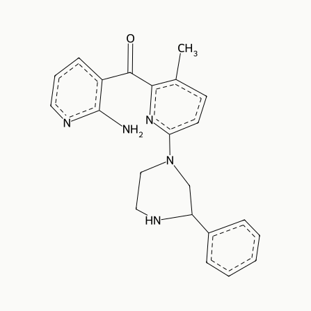 Cc1ccc(N2CCNC(c3ccccc3)C2)nc1C(=O)c1cccnc1N